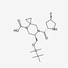 CC(C)(C)[Si](C)(C)OC[C@H]1CN(C(=O)O)C2(CC2)CN1C(=O)[C@@H]1C[C@@H](F)CN1